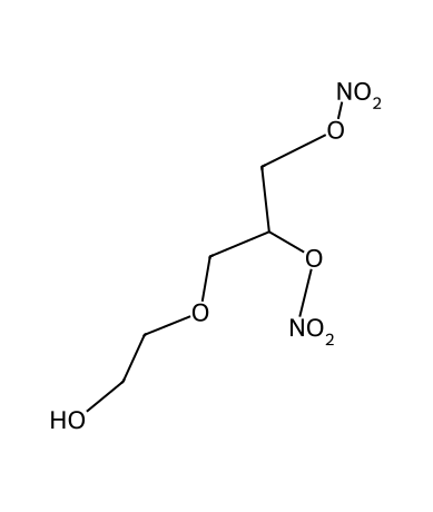 O=[N+]([O-])OCC(COCCO)O[N+](=O)[O-]